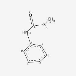 CSC(=O)Nc1ccccc1